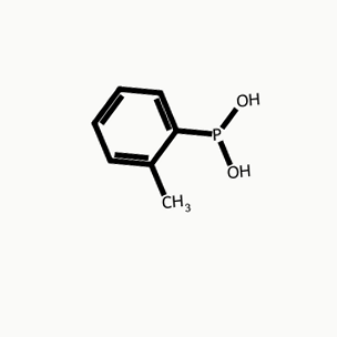 Cc1ccccc1P(O)O